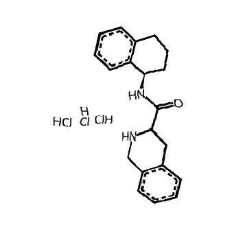 Cl.Cl.Cl.O=C(N[C@@H]1CCCc2ccccc21)C1Cc2ccccc2CN1